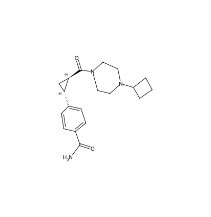 NC(=O)c1ccc([C@@H]2C[C@H]2C(=O)N2CCN(C3CCC3)CC2)cc1